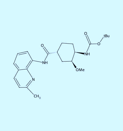 CO[C@H]1C[C@H](C(=O)Nc2cccc3ccc(C)nc23)CC[C@H]1NC(=O)OC(C)(C)C